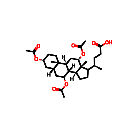 CC(=O)O[C@@H]1CC[C@@]2(C)[C@@H](C1)C[C@@H](OC(C)=O)[C@@H]1[C@@H]2C[C@H](OC(C)=O)[C@]2(C)C([C@H](C)CCC(=O)O)CC[C@@H]12